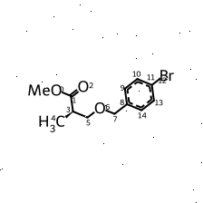 COC(=O)[C@H](C)COCc1ccc(Br)cc1